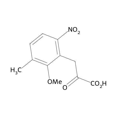 COc1c(C)ccc([N+](=O)[O-])c1CC(=O)C(=O)O